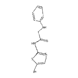 CC(C)c1cnc(NC(=O)CNc2ccccc2)s1